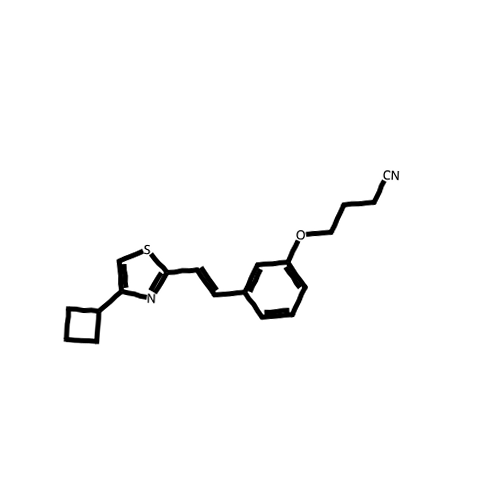 N#CCCCOc1cccc(C=Cc2nc(C3CCC3)cs2)c1